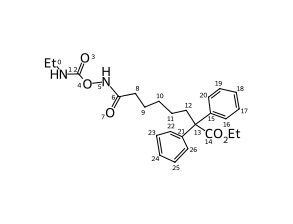 CCNC(=O)ONC(=O)CCCCCC(C(=O)OCC)(c1ccccc1)c1ccccc1